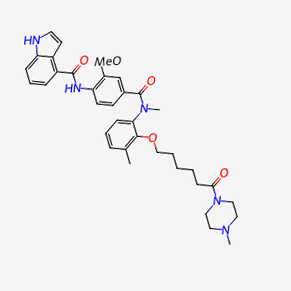 COc1cc(C(=O)N(C)c2cccc(C)c2OCCCCCC(=O)N2CCN(C)CC2)ccc1NC(=O)c1cccc2[nH]ccc12